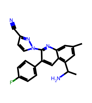 Cc1cc(C(C)N)c2cc(-c3ccc(F)cc3)c(-n3ccc(C#N)n3)nc2c1